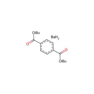 CC(C)COC(=O)c1ccc(C(=O)OCC(C)C)cc1.[BaH2]